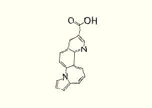 O=C(O)C1=CN=c2c(ccc3c2=CC=Cc2cccn2-3)C1